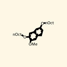 CCCCCCCCOc1ccc2cc(OC)c(OCCCCCCCC)cc2c1